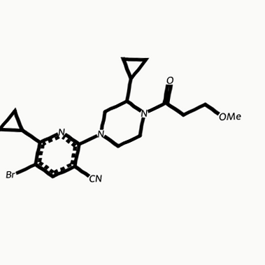 COCCC(=O)N1CCN(c2nc(C3CC3)c(Br)cc2C#N)CC1C1CC1